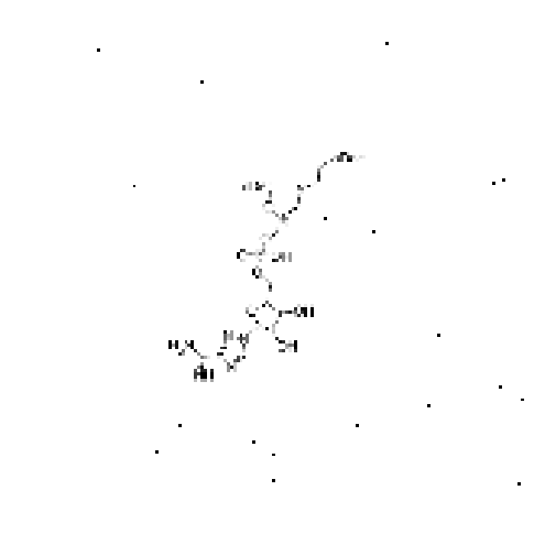 CCCCCCCCCCCCSC[C@@H](COP(=O)(O)OCC1OC(n2cnc(C(=N)N)n2)C(O)C1O)OCCCCCCCCCC